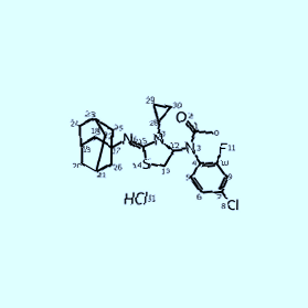 CC(=O)N(c1ccc(Cl)cc1F)C1CSC(=NC23CC4CC(CC(C4)C2)C3)N1C1CC1.Cl